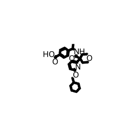 CC(NC(=O)C1(c2cccc(OCC3CCCCC3)n2)CCOCC1)c1ccc(C(=O)O)cc1